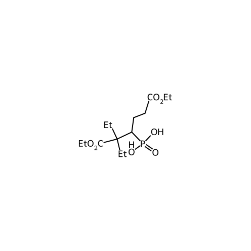 CCOC(=O)CCC(C(CC)(CC)C(=O)OCC)P(=O)(O)O